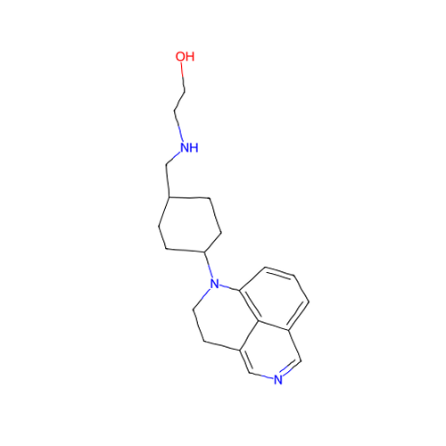 OCCNCC1CCC(N2CCc3cncc4cccc2c34)CC1